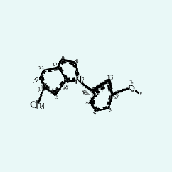 COc1cccc(-n2ccc3ccc(Cl)cc32)c1